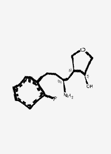 N[C@@H](Cc1ccccc1F)[C@H]1COC[C@H]1O